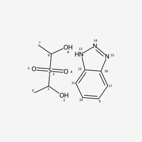 CC(O)S(=O)(=O)C(C)O.c1ccc2[nH]nnc2c1